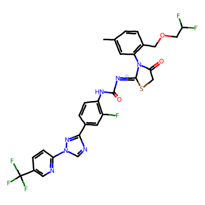 Cc1ccc(COCC(F)F)c(N2C(=O)CS/C2=N\C(=O)Nc2ccc(-c3ncn(-c4ccc(C(F)(F)F)cn4)n3)cc2F)c1